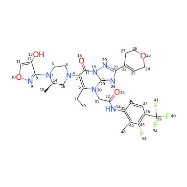 CCc1c(N2CCN(c3nocc3O)[C@H](C)C2)c(=O)n2nc(C3=CCOCC3)nc2n1CC(=O)Nc1ccc(C(F)(F)F)c(F)c1C